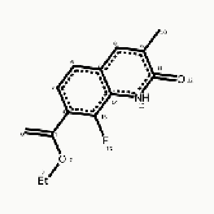 C=C(OCC)c1ccc2cc(C)c(=O)[nH]c2c1F